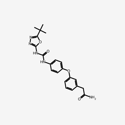 CC(C)(C)c1nnc(NC(=O)Nc2ccc(Oc3cccc(CC(N)=O)c3)cc2)o1